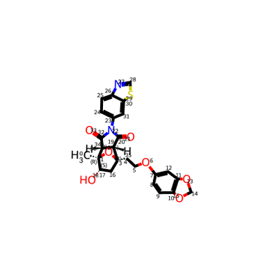 C[C@]12O[C@](CCOc3ccc4c(c3)OCO4)(C[C@@H]1O)[C@H]1C(=O)N(c3ccc4ncsc4c3)C(=O)[C@H]12